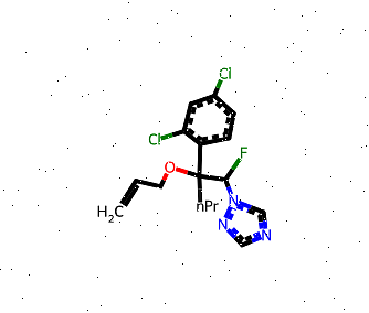 C=CCOC(CCC)(c1ccc(Cl)cc1Cl)C(F)n1cncn1